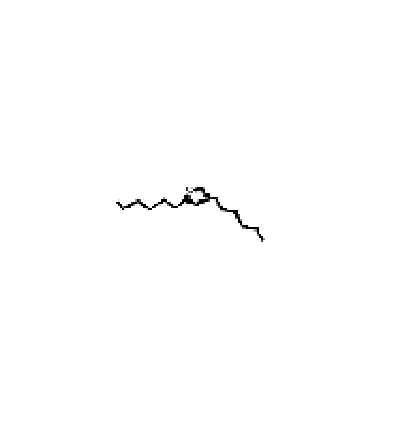 CCCCCCc1csc(CCCCCC)c1